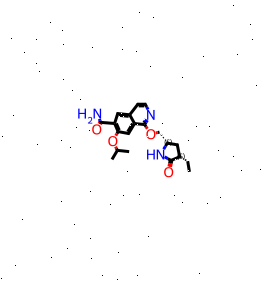 CC[C@H]1C[C@@H](COc2nccc3cc(C(N)=O)c(OC(C)C)cc23)NC1=O